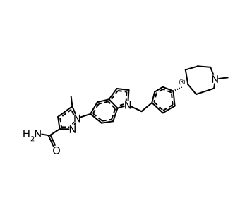 Cc1cc(C(N)=O)nn1-c1ccc2c(ccn2Cc2ccc([C@@H]3CCCN(C)CC3)cc2)c1